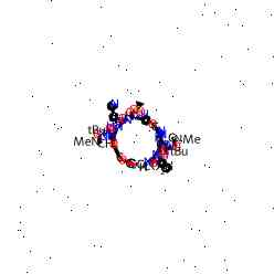 CN[C@@H](C)C(=O)N[C@H](C(=O)N1CC2CC1C(=O)N[C@@H](Cc1cccc(-c3cccnc3)c1)C(=O)N[C@H](C(=O)NS(=O)(=O)C1CC1)Cc1ccc(cc1)OCc1cn(nn1)C1C[C@@H](C(=O)N[C@@H](Cc3ccc4ccccc4c3)C(=O)N[C@H](C(=O)O)Cc3ccc(cc3)OC/C=C/CO2)N(C(=O)[C@@H](NC(=O)[C@H](C)NC)C(C)(C)C)C1)C(C)(C)C